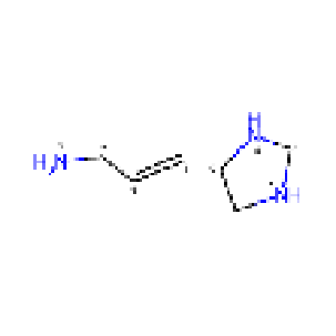 C1CNCN1.C=CCN